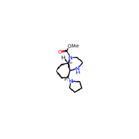 COC(=O)N1CCNC2[C@H](N3CCCC3)CCC[C@@H]21